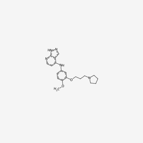 COc1ccc(Nc2ccnc3[nH]ncc23)cc1OCCCN1CCCC1